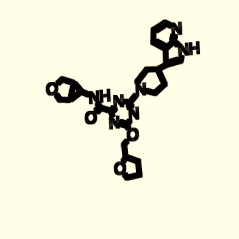 O=C(NC1C2COCC21)c1nc(OCC2CCCO2)nc(N2CCC(c3c[nH]c4ncccc34)CC2)n1